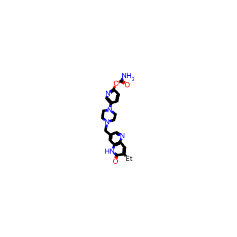 CCc1cc2ncc(CN3CCN(c4ccc(OC(N)=O)nc4)CC3)cc2[nH]c1=O